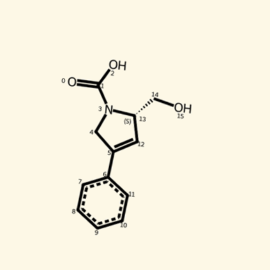 O=C(O)N1CC(c2ccccc2)=C[C@H]1CO